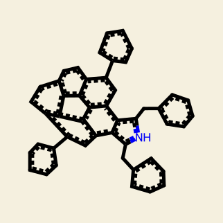 c1ccc(Cc2[nH]c(Cc3ccccc3)c3c4cc(-c5ccccc5)c5ccc6ccc7c(-c8ccccc8)cc(c23)c2c7c6c5c42)cc1